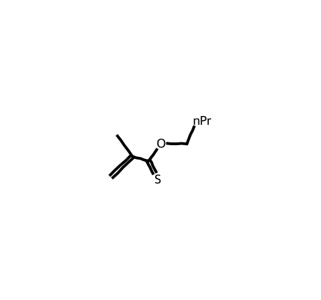 C=C(C)C(=S)OCCCC